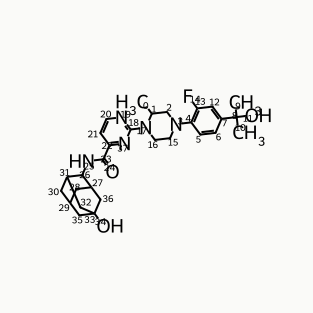 CC1CN(c2ccc(C(C)(C)O)cc2F)CCN1c1nccc(C(=O)NC2C3CC4CC2CC(O)(C4)C3)n1